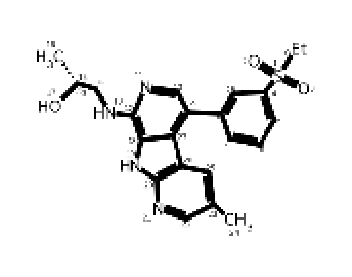 CCS(=O)(=O)c1cccc(-c2cnc(NC[C@@H](C)O)c3[nH]c4ncc(C)cc4c23)c1